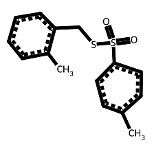 Cc1ccc(S(=O)(=O)SCc2ccccc2C)cc1